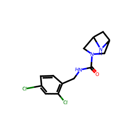 O=C(NCc1ccc(Cl)cc1Cl)N1CC2CC(C1)N2